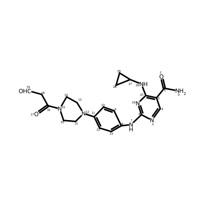 NC(=O)c1cnc(Nc2ccc(N3CCN(C(=O)CC=O)CC3)cc2)nc1NC1CC1